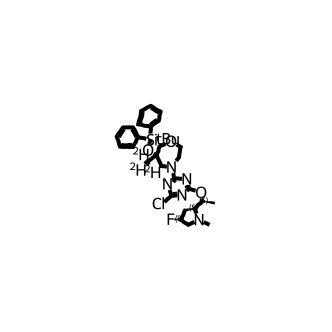 [2H]C([2H])([2H])C1(O[Si](c2ccccc2)(c2ccccc2)C(C)(C)C)COCCN(c2nc(Cl)nc(O[C@@H](C)[C@@H]3C[C@@H](F)CN3C)n2)C1